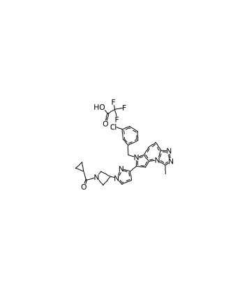 Cc1nnc2ccc3c(cc(-c4ccn(C5CN(C(=O)C6CC6)C5)n4)n3Cc3cccc(Cl)c3)n12.O=C(O)C(F)(F)F